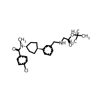 CN(C(=O)c1ccc(Cl)cc1)[C@H]1CC[C@H](c2cccc(CNCC(=O)OC(C)(C)C)c2)CC1